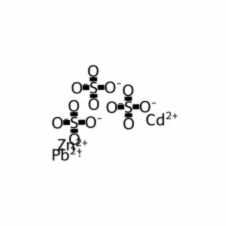 O=S(=O)([O-])[O-].O=S(=O)([O-])[O-].O=S(=O)([O-])[O-].[Cd+2].[Pb+2].[Zn+2]